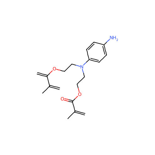 C=C(C)C(=C)OCCN(CCOC(=O)C(=C)C)c1ccc(N)cc1